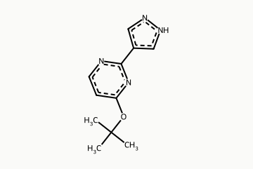 CC(C)(C)Oc1ccnc(-c2cn[nH]c2)n1